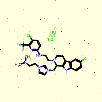 CN(C)CCn1cc[n+](CC2c3[nH]c4ccc(Cl)cc4c3CCN2CCNc2ccc(Cl)c(C(F)(F)F)n2)c1.Cl.Cl.Cl.[Cl-]